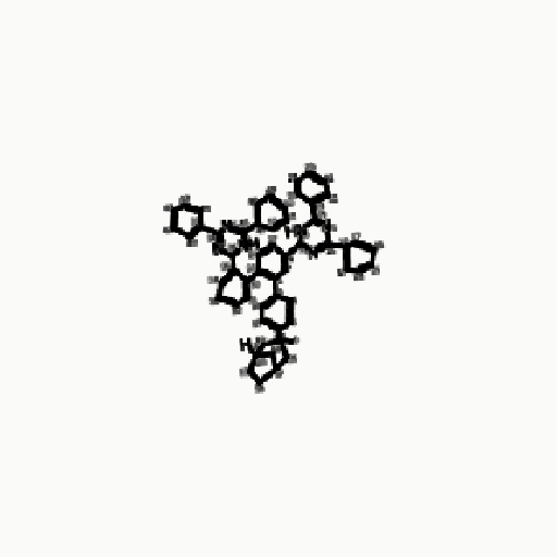 CC1(c2ccc(-c3cc(C4N=C(c5ccccc5)N=C(c5ccccc5)N4)ccc3-c3ccccc3C3N=C(c4ccccc4)N=C(c4ccccc4)N3)cc2)CC2CC[C@@H](C2)C1